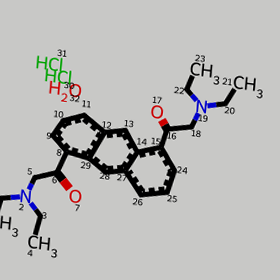 CCN(CC)CC(=O)c1cccc2cc3c(C(=O)CN(CC)CC)cccc3cc12.Cl.Cl.O